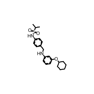 CC(C)S(=O)(=O)Nc1ccc(CNc2cccc(OC3CCCCC3)c2)cc1